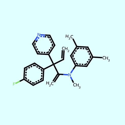 C=CC(C(=C)N(C)c1cc(C)cc(C)c1)(c1ccncc1)c1ccc(F)cc1